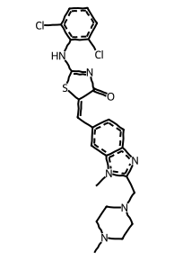 CN1CCN(Cc2nc3ccc(C=C4SC(Nc5c(Cl)cccc5Cl)=NC4=O)cc3n2C)CC1